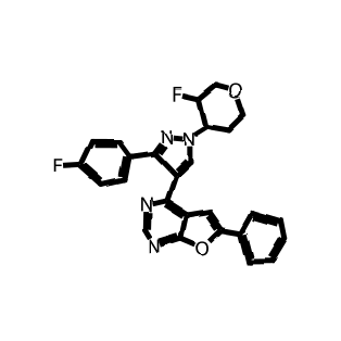 Fc1ccc(-c2nn(C3CCOCC3F)cc2-c2ncnc3oc(-c4ccccc4)cc23)cc1